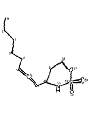 CCCCCC=C=CC1CCOS(=O)(=O)N1